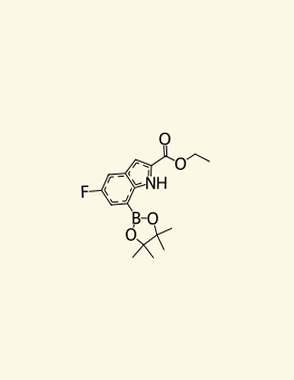 CCOC(=O)c1cc2cc(F)cc(B3OC(C)(C)C(C)(C)O3)c2[nH]1